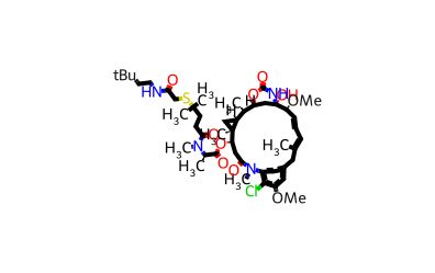 COc1cc2cc(c1Cl)N(C)C(=O)C[C@H](OC(=O)[C@H](C)N(C)C(=O)CCC(C)(C)SCC(=O)NCCC(C)(C)C)[C@@]1(C)C[C@H]1[C@H](C)[C@@H]1C[C@@](O)(NC(=O)O1)[C@H](OC)/C=C/C=C(\C)C2